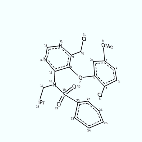 COc1ccc(Cl)c(Oc2c(CCl)ncnc2N(CC(C)C)S(=O)(=O)c2ccccc2)c1